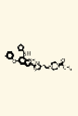 CC(=O)N1CCN(CC[C@H]2CSC(c3cc4cc(Oc5ccccc5)cc(NC5CCCC5)c4[nH]3)=N2)CC1